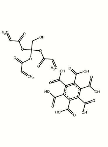 C=CC(=O)OC(CO)(OC(=O)C=C)OC(=O)C=C.O=C(O)c1c(C(=O)O)c(C(=O)O)c(C(=O)O)c(C(=O)O)c1C(=O)O